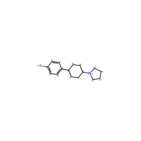 Fc1ccc(C2CCC(N3C[CH]CC3)CC2)cc1